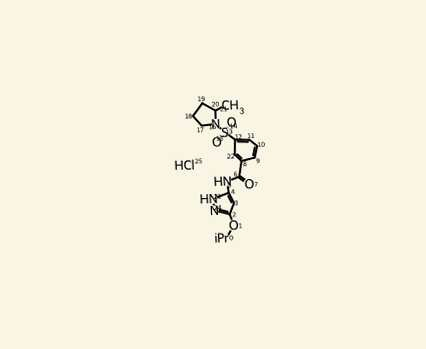 CC(C)Oc1cc(NC(=O)c2cccc(S(=O)(=O)N3CCCC3C)c2)[nH]n1.Cl